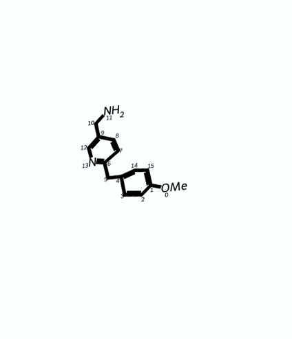 COc1ccc(Cc2ccc(CN)cn2)cc1